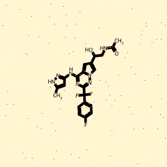 CC(=O)NCC(O)c1cc2c(Nc3cc(C)[nH]n3)nc(C(F)(F)c3ccc(F)cc3)nn2c1